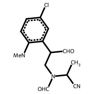 CNc1ccc(Cl)cc1C(C=O)CN(C=O)C(C)C#N